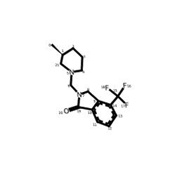 C[C@H]1CCCN(CN2Cc3c(cccc3C(F)(F)F)C2=O)C1